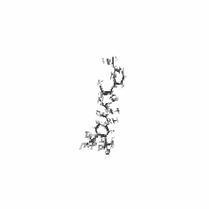 CNc1nccc(-c2sc(NC(=O)Nc3ccc(C(F)(F)F)c(C(F)(F)F)c3)nc2C)n1